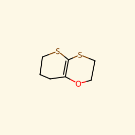 C1CSC2=C(C1)OCCS2